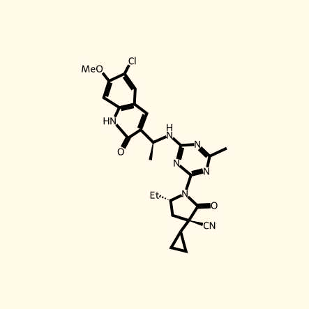 CC[C@H]1C[C@@](C#N)(C2CC2)C(=O)N1c1nc(C)nc(N[C@@H](C)c2cc3cc(Cl)c(OC)cc3[nH]c2=O)n1